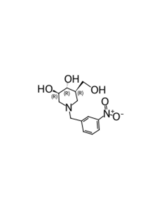 O=[N+]([O-])c1cccc(CN2C[C@H](CO)[C@@H](O)[C@H](O)C2)c1